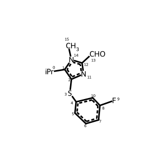 CC(C)c1c(Sc2cccc(F)c2)nc(C=O)n1C